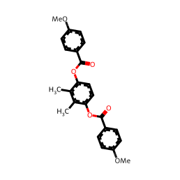 COc1ccc(C(=O)Oc2ccc(OC(=O)c3ccc(OC)cc3)c(C)c2C)cc1